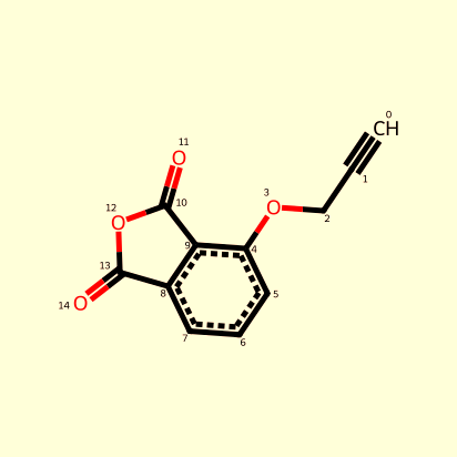 C#CCOc1cccc2c1C(=O)OC2=O